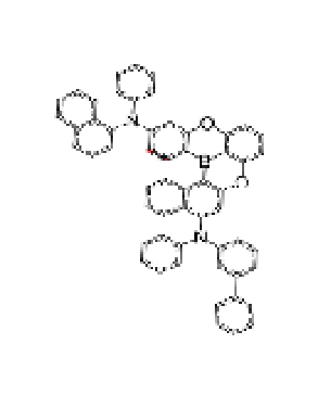 c1ccc(-c2cccc(N(c3ccccc3)c3cc4c(c5ccccc35)B3c5c(cccc5Oc5cc(N(c6ccccc6)c6cccc7ccccc67)c6ccccc6c53)O4)c2)cc1